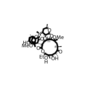 CC[C@H]1OC(=O)[C@H](C)[C@@H](O[C@H]2C[C@@](C)(OC)[C@@H](O)[C@H](C)O2)[C@H](C)[C@@H](O[C@@H]2O[C@H](C)C[C@H](N(C)Cc3ccccc3)[C@H]2O)[C@@](C)(OC)C[C@@H](C)C(=O)[C@H](C)[C@@H](O)[C@]1(C)O